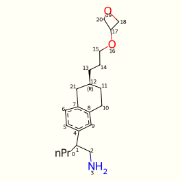 CCCC(CN)c1ccc2c(c1)CC[C@H](CCCOC1COC1)C2